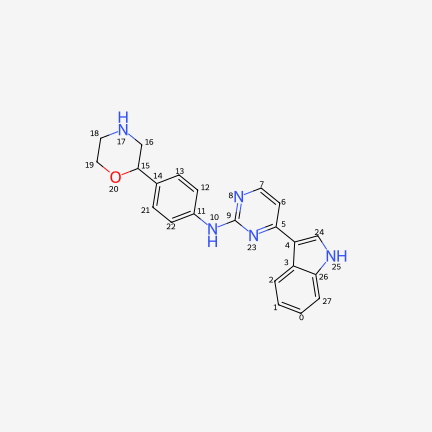 c1ccc2c(-c3ccnc(Nc4ccc(C5CNCCO5)cc4)n3)c[nH]c2c1